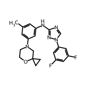 Cc1cc(Nc2ncn(-c3cc(F)cc(F)c3)n2)cc(N2CCOC3(CC3)C2)c1